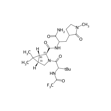 CN1CCC(CC(NC(=O)[C@@H]2[C@@H]3[C@H](CN2C(=O)C(NC(=O)C(F)(F)F)C(C)(C)C)C3(C)C)C(N)=O)C1=O